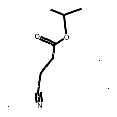 CC(C)OC(=O)CCC#N